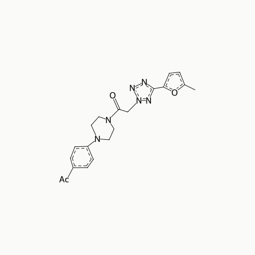 CC(=O)c1ccc(N2CCN(C(=O)Cn3nnc(-c4ccc(C)o4)n3)CC2)cc1